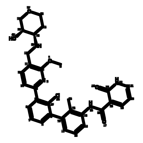 COc1nc(-c2cccc(-c3cccc(NC(=O)c4ccn[nH]c4=O)c3C)c2Cl)ccc1CN[C@@H]1CCOC[C@@H]1O